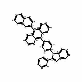 c1ccc(-c2nc3ccccc3n2-c2ccc(-c3c4ccccc4c(-c4ccc5ccccc5c4)c4ccccc34)cn2)cc1